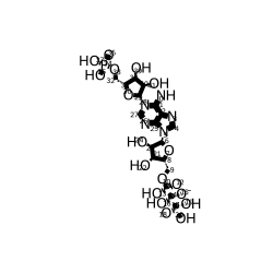 N=c1c2ncn([C@@H]3O[C@H](COP(=O)(O)[P+]([O-])(O)[P+]([O-])(O)O)[C@@H](O)[C@H]3O)c2ncn1[C@@H]1O[C@H](COP(=O)(O)O)[C@@H](O)[C@H]1O